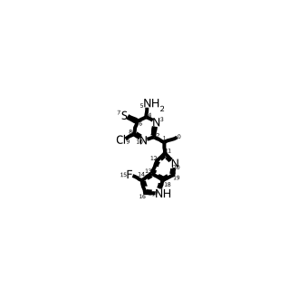 CC(C1=NC(N)C(=S)C(Cl)=N1)c1cc2c(F)c[nH]c2cn1